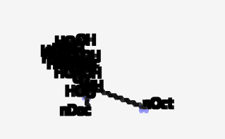 CCCCCCCC/C=C\CCCCCCCCCCCCCCCC(=O)N[C@@H](CO[C@@H]1OC(CO)[C@@H](O[C@@H]2OC(CO)[C@H](O[C@@H]3OC(CO)[C@H](O)[C@H](O)C3NC(C)=O)[C@H](O[C@@H]3OC(CO)[C@@H](O)[C@H](O)C3NC(C)=O)C2O)[C@H](O)C1O)[C@H](O)/C=C/CCCCCCCCCCCCC